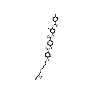 C=CC(=O)OCCCCCCOc1ccc(C(=O)Oc2ccc(C(=O)Oc3ccc(OC(=O)c4ccc(C)cc4)c(C)c3)cc2)cc1